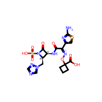 Nc1nc(/C(=N/OC2(C(=O)O)CCC2)C(=O)N[C@@H]2C(=O)N(S(=O)(=O)O)[C@@H]2Cn2cncn2)cs1